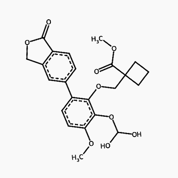 COC(=O)C1(COc2c(-c3ccc4c(c3)COC4=O)ccc(OC)c2OC(O)O)CCC1